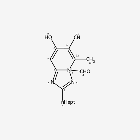 CCCCCCCC1=N[N+]2(C=O)C(=N1)C=C(O)C(C#N)=C2C